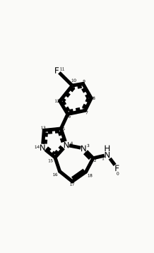 FNC1=Nn2c(-c3cccc(F)c3)cnc2CC=C1